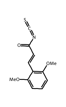 COc1cccc(OC)c1C=CC(=O)N=C=S